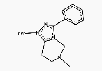 CCCn1nc(-c2ccccc2)c2c1CCN(C)C2